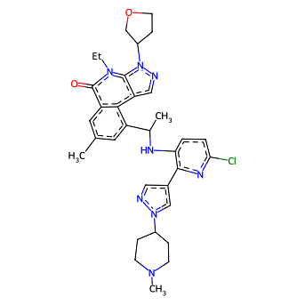 CCn1c(=O)c2cc(C)cc(C(C)Nc3ccc(Cl)nc3-c3cnn(C4CCN(C)CC4)c3)c2c2cnn(C3CCOC3)c21